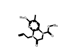 C=CCN1C(=O)CN(C(=O)OC(C)(C)C)c2cc(C)c(OC)nc21